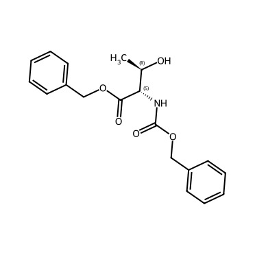 C[C@@H](O)[C@H](NC(=O)OCc1ccccc1)C(=O)OCc1ccccc1